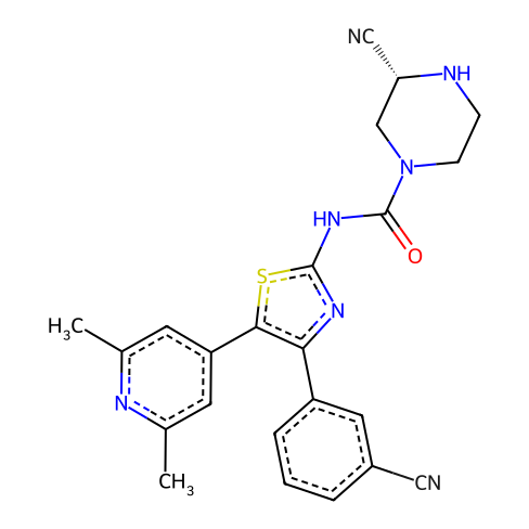 Cc1cc(-c2sc(NC(=O)N3CCN[C@@H](C#N)C3)nc2-c2cccc(C#N)c2)cc(C)n1